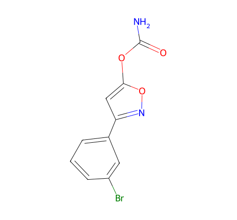 NC(=O)Oc1cc(-c2cccc(Br)c2)no1